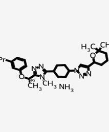 CC(C)c1cccc(O[C@H](C)c2nnc(C3CCC(n4cc(C5CCCC(C)(C)O5)nn4)CC3)n2C)c1.N